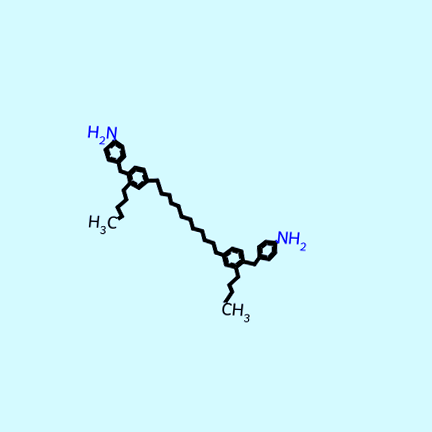 CCCCCc1cc(CCCCCCCCCCCCc2ccc(Cc3ccc(N)cc3)c(CCCCC)c2)ccc1Cc1ccc(N)cc1